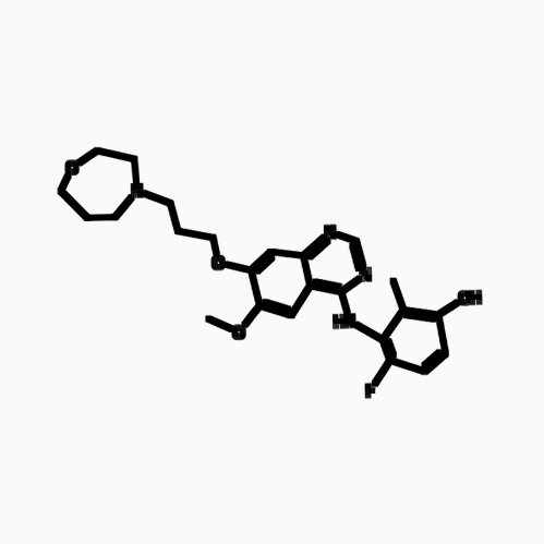 COc1cc2c(Nc3c(F)ccc(O)c3C)ncnc2cc1OCCCN1CCCOCC1